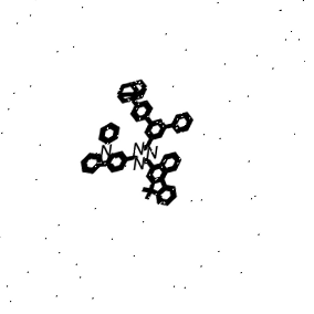 CC1(C)c2ccccc2-c2c1cc(-c1nc(-c3cc(-c4ccccc4)cc(-c4ccc(C56CC7CC(CC(C7)C5)C6)cc4)c3)nc(-c3ccc4c5ccccc5n(-c5ccccc5)c4c3)n1)c1ccccc21